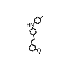 COc1cccc(C=Cc2ccc(Nc3ccc(C)cc3)cc2)c1